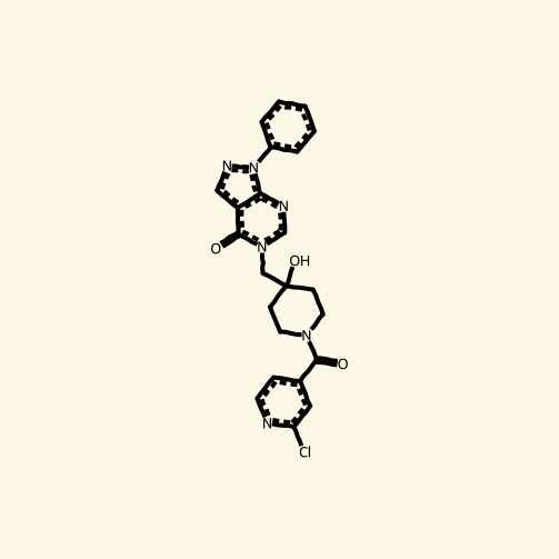 O=C(c1ccnc(Cl)c1)N1CCC(O)(Cn2cnc3c(cnn3-c3ccccc3)c2=O)CC1